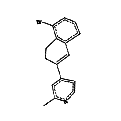 Cc1cc(C2=Cc3cccc(Br)c3CC2)ccn1